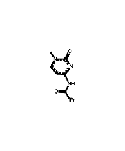 CC(C)C(=O)Nc1ccn(I)c(=O)n1